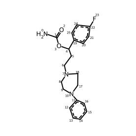 NC(=O)OC(CCN1CCN(c2ccccc2)CC1)c1ccc(F)cc1